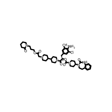 Cc1cc(C[C@@H](OC(=O)N2CCC(N3CCc4ccccc4NC3=O)CC2)C(=O)N2CCC(C3CCN(CC(=O)OCCCN4CCCCC4=O)CC3)CC2)cc(Cl)c1N